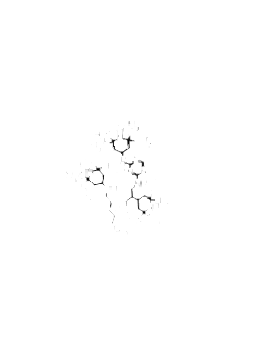 CCC(CNc1ncnc(NC2CC(C)(C)NC(C)(C)C2)n1)C1CC(C)(C)NC(C)(C)C1.CCCCCCNC1CC(C)(C)NC(C)(C)C1